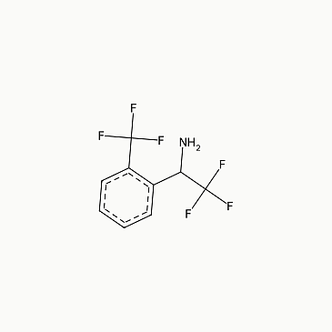 NC(c1ccccc1C(F)(F)F)C(F)(F)F